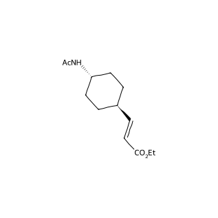 CCOC(=O)/C=C/[C@H]1CC[C@H](NC(C)=O)CC1